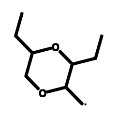 [CH2]C1OCC(CC)OC1CC